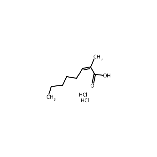 CCCCCC=C(C)C(=O)O.Cl.Cl